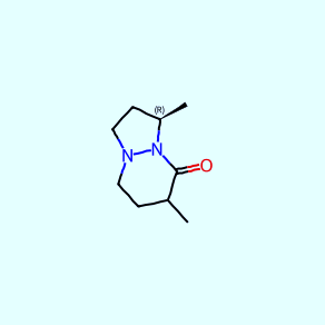 CC1CCN2CC[C@@H](C)N2C1=O